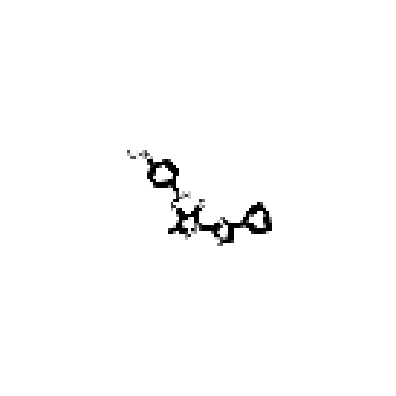 CC(=O)Nc1ccc(N/N=C2\C(=O)N(c3nc(-c4ccccc4)cs3)N=C2C)cc1